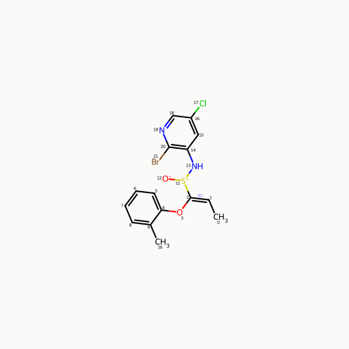 C/C=C(\Oc1ccccc1C)[S+]([O-])Nc1cc(Cl)cnc1Br